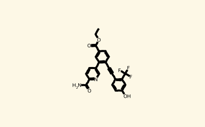 CCOC(=O)c1ccc(C#Cc2ccc(O)cc2C(F)(F)F)c(-c2ccc(C(N)=O)nc2)c1